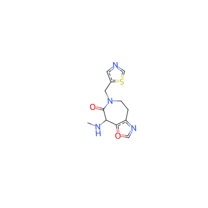 CNC1C(=O)N(Cc2cncs2)CCc2ncoc21